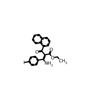 CCOC(=O)/C(C(=O)c1cccc2ccccc12)=C(\N)c1ccc(I)cc1